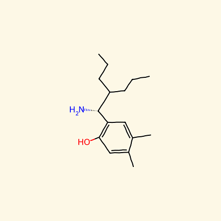 CCCC(CCC)[C@@H](N)c1cc(C)c(C)cc1O